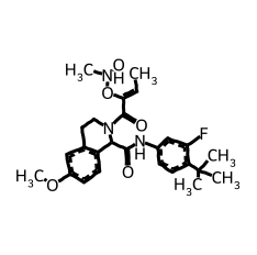 C/C=C(\ON(C)O)C(=O)N1CCc2cc(OC)ccc2C1C(=O)Nc1ccc(C(C)(C)C)c(F)c1